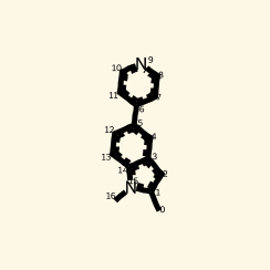 Cc1cc2cc(-c3ccncc3)ccc2n1C